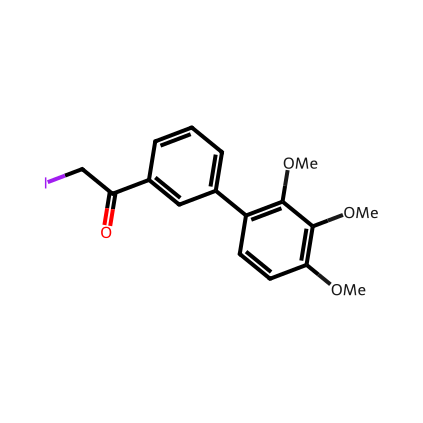 COc1ccc(-c2cccc(C(=O)CI)c2)c(OC)c1OC